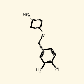 Cc1cc(CO[C@H]2C[C@@H](O)C2)ccc1Cl